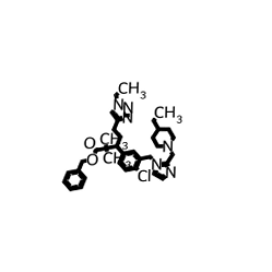 CCC1CCN(Cc2nccn2Cc2cc(C(CCc3cn(CC)nn3)C(C)(C)C(=O)OCc3ccccc3)ccc2Cl)CC1